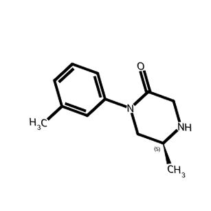 Cc1cccc(N2C[C@H](C)NCC2=O)c1